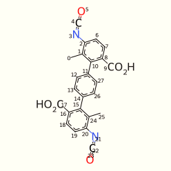 Cc1c(N=C=O)ccc(C(=O)O)c1-c1ccc(-c2c(C(=O)O)ccc(N=C=O)c2C)cc1